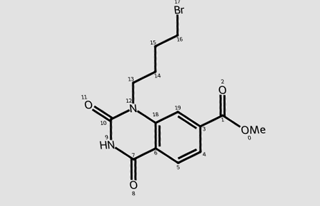 COC(=O)c1ccc2c(=O)[nH]c(=O)n(CCCCBr)c2c1